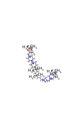 CC(C)(CCCN1CC(CN2CCN(C(C)(C)C)CC2)C1)CCC(C)(C)C1CCN(C2CCN(CCOC(C)(C)C)CC2)CC1